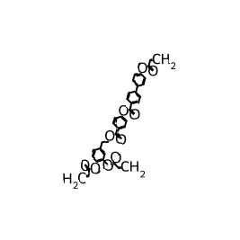 C=CC(=O)Oc1ccc(-c2ccc(C(=O)Oc3ccc(C(=O)OCCc4ccc(OC(=O)C=C)c(OC(=O)C=C)c4)cc3)cc2)cc1